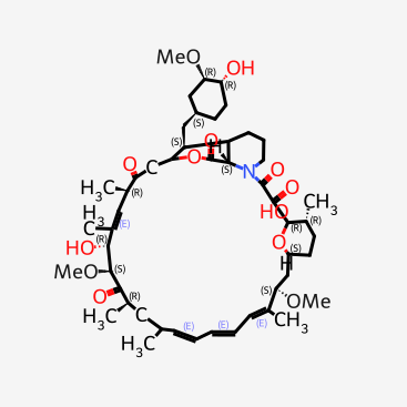 CO[C@H]1C[C@@H]2CC[C@@H](C)[C@@](O)(O2)C(=O)C(=O)N2CCCC3[C@H](C[C@@H]4CC[C@@H](O)[C@H](OC)C4)C(CC(=O)[C@H](C)/C=C(\C)[C@@H](O)[C@H](OC)C(=O)[C@H](C)CC(C)/C=C/C=C/C=C/1C)OC(=O)[C@H]32